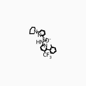 Cc1ccccc1-c1nc(N[S+]([O-])c2cccc(N3CCCCC3)n2)ccc1C(F)(F)F